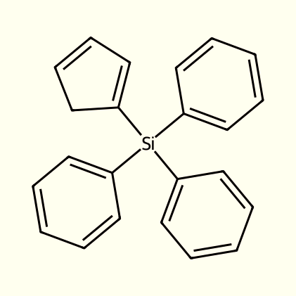 C1=CCC([Si](c2ccccc2)(c2ccccc2)c2ccccc2)=C1